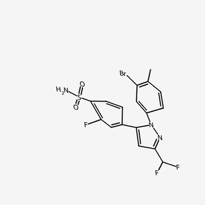 Cc1ccc(-n2nc(C(F)F)cc2-c2ccc(S(N)(=O)=O)c(F)c2)cc1Br